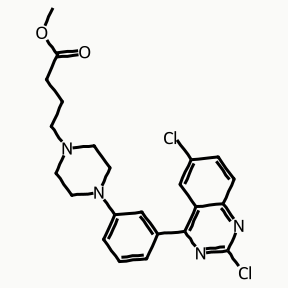 COC(=O)CCCN1CCN(c2cccc(-c3nc(Cl)nc4ccc(Cl)cc34)c2)CC1